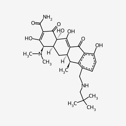 C[C@@H]1c2c(CNCC(C)(C)C)ccc(O)c2C(=O)C2=C(O)[C@]3(O)C(=O)C(C(N)=O)=C(O)[C@H](N(C)C)[C@@H]3C[C@@H]21